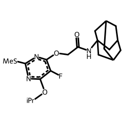 CSc1nc(OCC(=O)NC23CC4CC(CC(C4)C2)C3)c(F)c(OC(C)C)n1